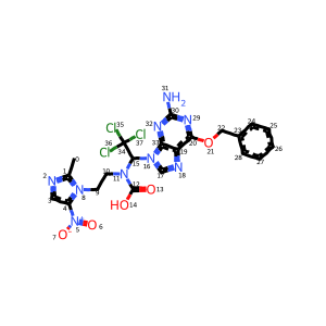 Cc1ncc([N+](=O)[O-])n1CCN(C(=O)O)C(n1cnc2c(OCc3ccccc3)nc(N)nc21)C(Cl)(Cl)Cl